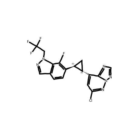 Fc1c([C@H]2C[C@@H]2c2cc(Cl)nn3ncnc23)ccc2cnn(CC(F)(F)F)c12